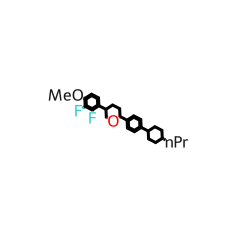 CCCC1CCC(c2ccc(C3CCC(c4ccc(OC)c(F)c4F)CO3)cc2)CC1